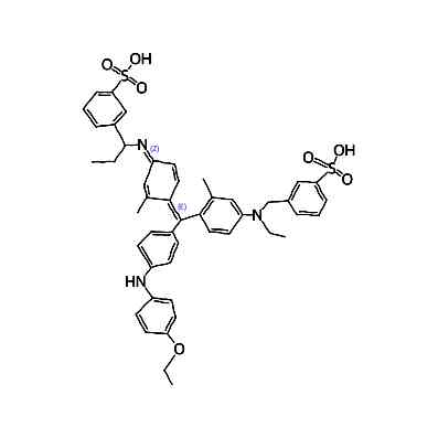 CCOc1ccc(Nc2ccc(/C(=C3C=C/C(=N/C(CC)c4cccc(S(=O)(=O)O)c4)C=C/3C)c3ccc(N(CC)Cc4cccc(S(=O)(=O)O)c4)cc3C)cc2)cc1